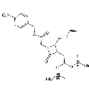 C=CCSC1C(CC(O[SiH](C)C(C)(C)C)O[SiH](C)C(C)(C)C)C(=O)N1CC(=O)OCc1ccc([N+](=O)[O-])cc1